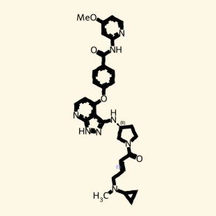 COc1ccnc(NC(=O)c2ccc(Oc3ccnc4[nH]nc(N[C@@H]5CCN(C(=O)/C=C/CN(C)C6CC6)C5)c34)cc2)c1